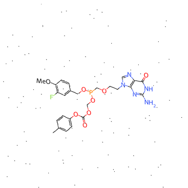 COc1ccc(COP(COCCn2cnc3c(=O)[nH]c(N)nc32)OCOC(=O)Oc2ccc(C)cc2)cc1F